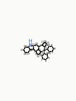 c1ccc2c(c1)-c1ccccc1C21c2ccccc2-c2cc3[nH]c4ccccc4c3c3cccc1c23